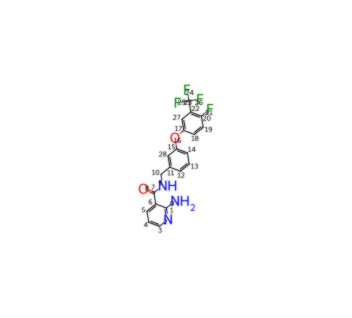 Nc1ncccc1C(=O)NCc1cccc(Oc2ccc(F)c(C(F)(F)F)c2)c1